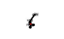 O=C(CCCCCCC(=O)Nc1ccc(S(=O)(=O)N[C@H](C(=O)OC2CCCC2)c2ccccc2)cc1)NO